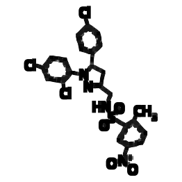 Cc1ccc([N+](=O)[O-])cc1S(=O)(=O)NCC1=NN(c2ccc(Cl)cc2Cl)C(c2ccc(Cl)cc2)C1